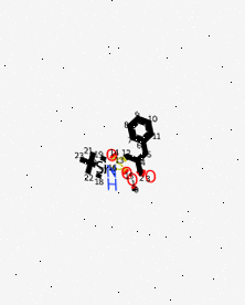 COC(=O)C(Cc1ccccc1)CS(=O)(=O)N[Si](C)(C)C(C)(C)C